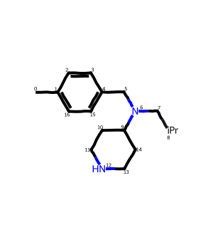 Cc1ccc(CN(CC(C)C)C2CCNCC2)cc1